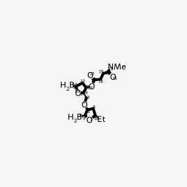 B[C@@H]1O[C@H](CC)CC1OC[C@H]1O[C@@H](B)C[C@H]1OC(=O)CCC(=O)NC